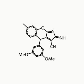 COc1cc(OC)cc(C2C3=C(C#N)C(=N)N=C3Oc3cc(C)ccc32)c1